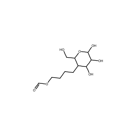 O=COCCCCC1C(CO)OC(O)C(O)C1O